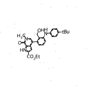 CCOC(=O)c1cc2c(-c3cccc(Nc4ccc(C(C)(C)C)cc4)c3CO)cn(C)c(=O)c2[nH]1